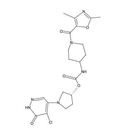 Cc1nc(C)c(C(=O)N2CCC(NC(=O)O[C@@H]3CCN(c4cn[nH]c(=O)c4Cl)C3)CC2)o1